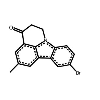 Cc1cc2c3c(c1)c1cc(Br)ccc1n3CCC2=O